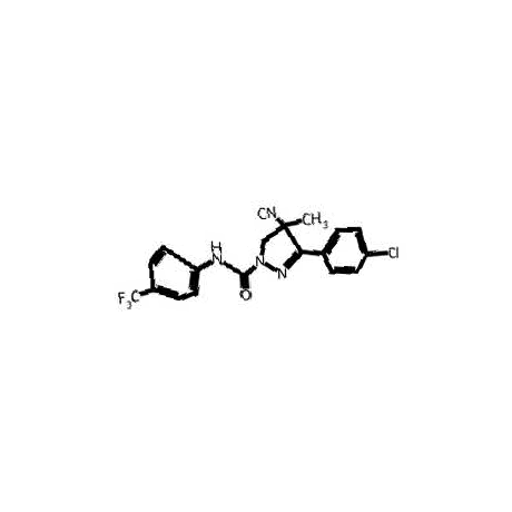 [C-]#[N+]C1(C)CN(C(=O)Nc2ccc(C(F)(F)F)cc2)N=C1c1ccc(Cl)cc1